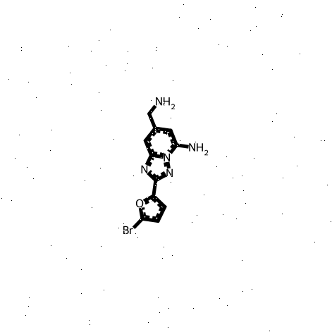 NCc1cc(N)n2nc(-c3ccc(Br)o3)nc2c1